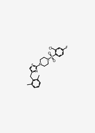 Cc1cccc(C)c1Cc1csc(N2CCN(S(=O)(=O)c3ccc(F)cc3Cl)CC2)n1